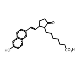 O=C(O)CCCCCCC1C(=O)CCC1C=Cc1ccc2cc(O)ccc2c1